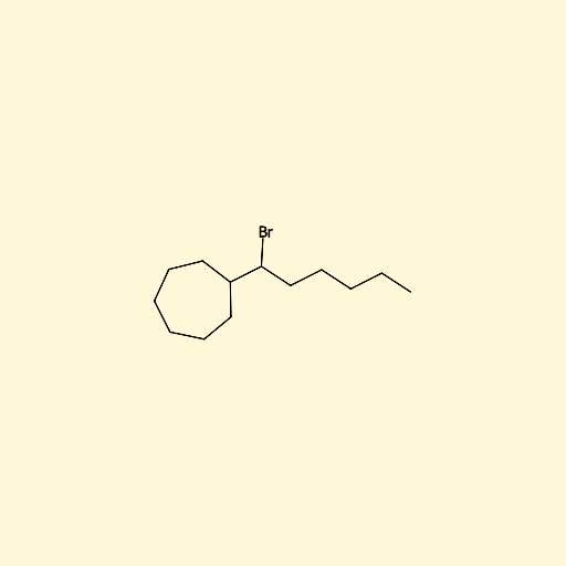 CCCCCC(Br)C1CCCCCC1